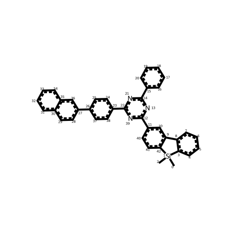 C[Si]1(C)c2ccccc2-c2cc(-c3nc(-c4ccccc4)nc(-c4ccc(-c5ccc6ccccc6c5)cc4)n3)ccc21